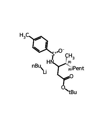 CCC[C@@H](C)[C@@H](C)C(CC(=O)OC(C)(C)C)N[S+]([O-])c1ccc(C)cc1.[Li][CH2]CCC